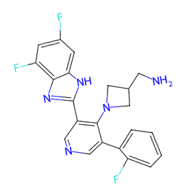 NCC1CN(c2c(-c3nc4c(F)cc(F)cc4[nH]3)cncc2-c2ccccc2F)C1